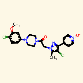 COc1cc(N2CCN(C(=O)Cn3nc(-c4cc[n+]([O-])cc4)c(Cl)c3C)CC2)ccc1Cl